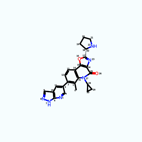 Cc1c(-c2cnc3[nH]ncc3c2)ccc2c3oc([C@@H]4CCCN4)nc3c(=O)n(C3CC3)c12